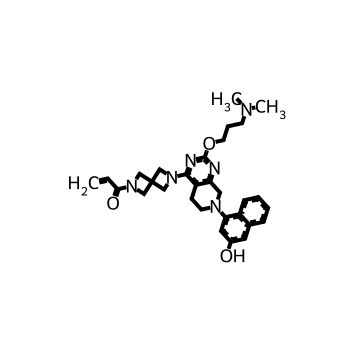 C=CC(=O)N1CC2(C1)CN(c1nc(OCCCN(C)C)nc3c1CCN(c1cc(O)cc4ccccc14)C3)C2